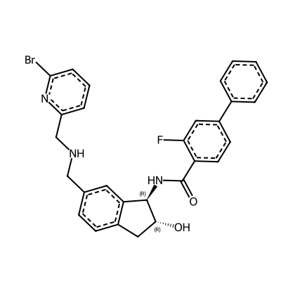 O=C(N[C@@H]1c2cc(CNCc3cccc(Br)n3)ccc2C[C@H]1O)c1ccc(-c2ccccc2)cc1F